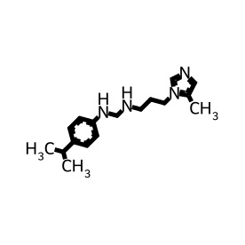 Cc1cncn1CCCNCNc1ccc(C(C)C)cc1